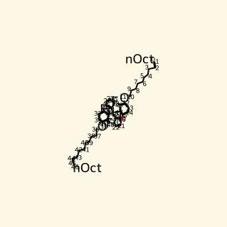 CCCCCCCC/C=C\CCCCCCCCOc1ccc(F)[c]([Ti]([C]2=CC=CC2)([C]2=CC=CC2)[c]2c(F)ccc(OCCCCCCCC/C=C\CCCCCCCC)c2F)c1F